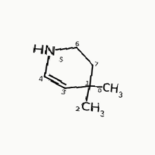 CC1(C)C=CNCC1